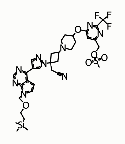 C[Si](C)(C)CCOCn1ccc2c(-c3cnn([C@]4(CC#N)C[C@@H](N5CCC(Oc6cc(COS(C)(=O)=O)nc(C(F)(F)F)n6)CC5)C4)c3)ncnc21